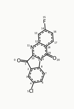 O=C1c2cc(Cl)ccc2-n2c1nc1cc(F)ccc1c2=O